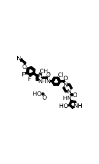 Cn1c(-c2ccc(OCC#N)c(F)c2F)cnc1C(=O)Nc1ccc(C(=O)N2CCN(C(=O)N[C@@H]3CNC[C@H]3O)CC2)c(Cl)c1.O=CO